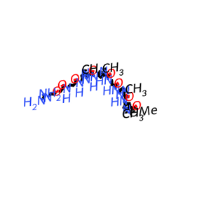 COC(=O)c1cc(NC(=O)c2nc(NC(=O)CCNC(=O)c3cc(NC(=O)c4nc(NC(=O)CCNC(=O)COCCN=C(N)N)cn4C)cn3C)cn2C)cn1C